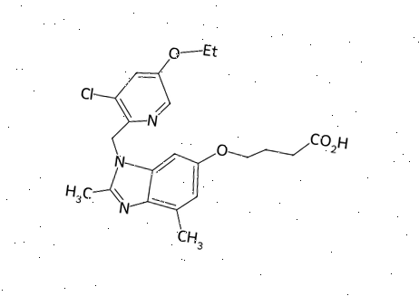 CCOc1cnc(Cn2c(C)nc3c(C)cc(OCCCC(=O)O)cc32)c(Cl)c1